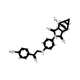 Cc1ccc(C(=O)COc2ccc(N3C(=O)C4C5C=C[C@H](C6CC56)C4C3=O)cc2)cc1